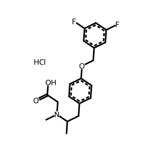 CC(Cc1ccc(OCc2cc(F)cc(F)c2)cc1)N(C)CC(=O)O.Cl